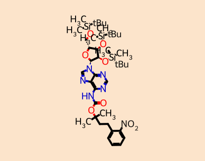 CC(C)(CCc1ccccc1[N+](=O)[O-])OC(=O)Nc1ncnc2c1ncn2[C@@H]1O[C@H](CO[Si](C)(C)C(C)(C)C)[C@@H](O[Si](C)(C)C(C)(C)C)[C@H]1O[Si](C)(C)C(C)(C)C